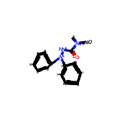 CN(N=O)C(=O)NN(c1ccccc1)c1ccccc1